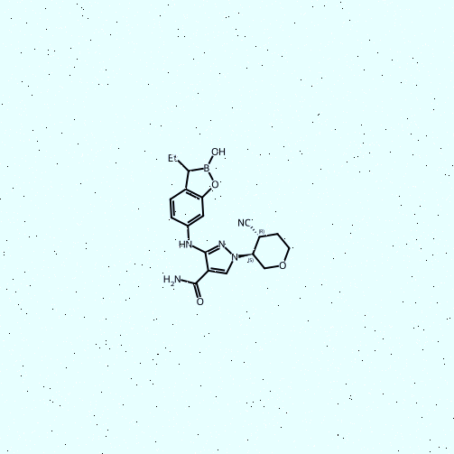 CCC1B(O)Oc2cc(Nc3nn([C@@H]4COCC[C@H]4C#N)cc3C(N)=O)ccc21